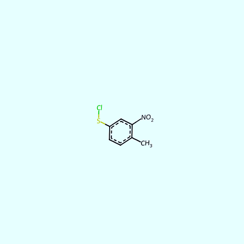 Cc1ccc(SCl)cc1[N+](=O)[O-]